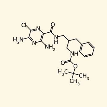 CC(C)(C)OC(=O)NCC(CNC(=O)c1nc(Cl)c(N)nc1N)Cc1ccccc1